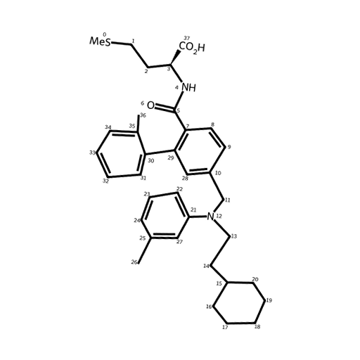 CSCC[C@H](NC(=O)c1ccc(CN(CCC2CCCCC2)c2cccc(C)c2)cc1-c1ccccc1C)C(=O)O